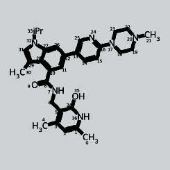 CC1=CC(C)=C(CNC(=O)c2cc(-c3ccc(N4CCN(C)CC4)nc3)cc3c2c(C)cn3C(C)C)C(O)N1